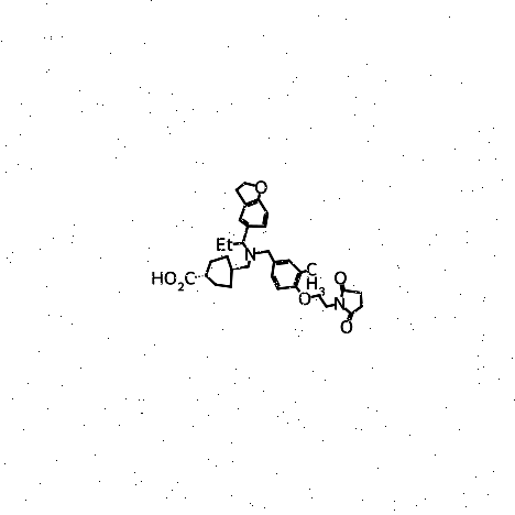 CCC(c1ccc2c(c1)CCO2)N(Cc1ccc(OCCN2C(=O)CCC2=O)c(C)c1)C[C@H]1CC[C@H](C(=O)O)CC1